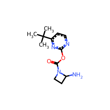 CC(C)(C)c1ccnc(OC(=O)N2CCC2N)n1